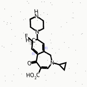 CC(/C=C1/CN(C2CC2)C=C(C(=O)O)C(=O)/C1=C/CF)N1CCNCC1